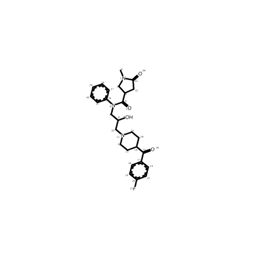 CN1CC(C(=O)N(CC(O)CN2CCC(C(=O)c3ccc(F)cc3)CC2)c2ccccc2)CC1=O